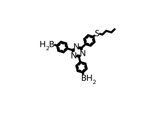 Bc1ccc(-c2nc(-c3ccc(B)cc3)nc(-c3ccc(SCCCC)cc3)n2)cc1